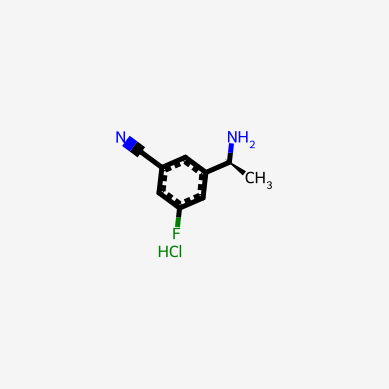 C[C@H](N)c1cc(F)cc(C#N)c1.Cl